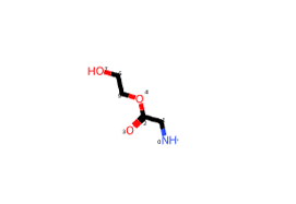 [NH]CC(=O)OCCO